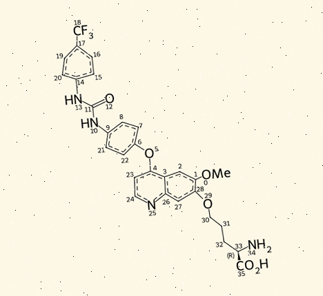 COc1cc2c(Oc3ccc(NC(=O)Nc4ccc(C(F)(F)F)cc4)cc3)ccnc2cc1OCCC[C@@H](N)C(=O)O